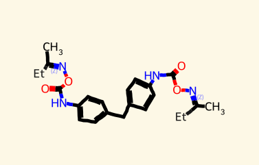 CC/C(C)=N\OC(=O)Nc1ccc(Cc2ccc(NC(=O)O/N=C(/C)CC)cc2)cc1